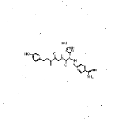 Cl.N=C(N)c1ccc(CNC(C(=O)NCC(=O)NCCc2ccc(O)cc2)c2cc[nH]n2)cc1